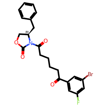 O=C(CCCCC(=O)N1C(=O)OC[C@H]1Cc1ccccc1)c1cc(F)cc(Br)c1